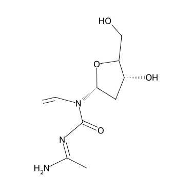 C=CN(C(=O)/N=C(\C)N)[C@H]1C[C@@H](O)C(CO)O1